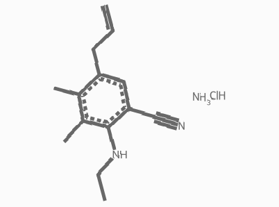 C=CCc1cc(C#N)c(NCC)c(C)c1C.Cl.N